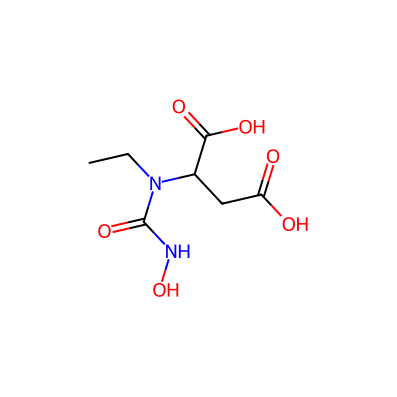 CCN(C(=O)NO)C(CC(=O)O)C(=O)O